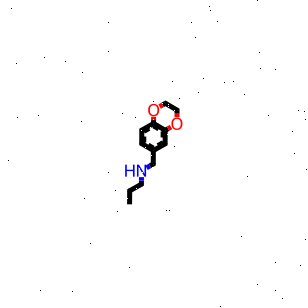 CCCNCc1ccc2c(c1)OCCO2